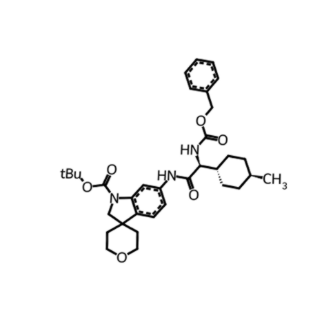 CC(C)(C)OC(=O)N1CC2(CCOCC2)c2ccc(NC(=O)[C@@H](NC(=O)OCc3ccccc3)[C@H]3CC[C@H](C)CC3)cc21